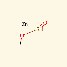 CO[SH]=O.[Zn]